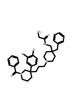 CCC(=O)NCC1(Cc2ccccc2)CCN(CCCC2(c3ccc(Cl)c(Cl)c3)CCCN(C(=O)c3ccccc3)C2)CC1